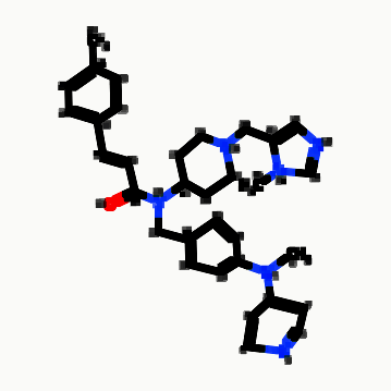 CN(c1ccncc1)c1ccc(CN(C(=O)C=Cc2ccc(C(F)(F)F)cc2)C2CCN(Cc3cncn3C)CC2)cc1